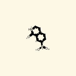 O=c1[nH]ccc2ccc([N+](=O)[O-])cc12